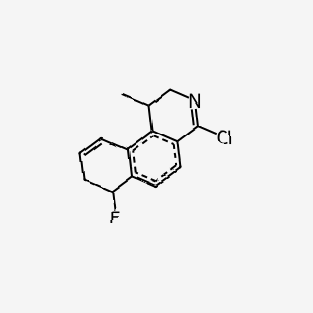 CC1CN=C(Cl)c2ccc3c(c21)C=CCC3F